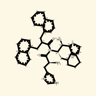 N[C@@H](Cc1c[nH]cn1)C(=O)N(C(=O)C(Cc1cccc2ccccc12)Cc1cccc2ccccc12)[C@@H](CC1CCCCC1)[C@@H](O)c1ncc[nH]1